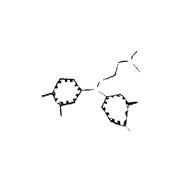 CN(C)CCOB(c1ccc(Cl)c(F)c1)c1ccc(Cl)c(F)c1